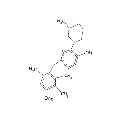 CC(=O)Oc1cc(C)c(Cc2ccc(O)c(C3CCCC(C)C3)n2)c(C)c1C